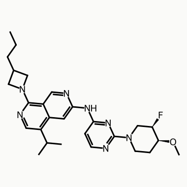 CCCC1CN(c2ncc(C(C)C)c3cc(Nc4ccnc(N5CC[C@H](OC)[C@H](F)C5)n4)ncc23)C1